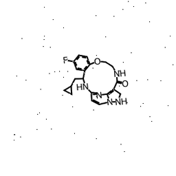 O=C1NCCOc2ccc(F)cc2C(CC2CC2)NC2=NC3=C1CNN3C=C2